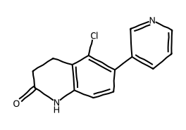 O=C1CCc2c(ccc(-c3cccnc3)c2Cl)N1